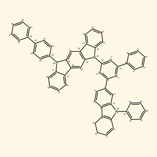 C1=Cc2c(c3ccc(-c4nc(-c5ccccc5)nc(-n5c6ccccc6c6cc7c(cc65)c5ccccc5n7-c5ccc(-c6ccccc6)cc5)n4)cc3n2-c2ccccc2)CC1